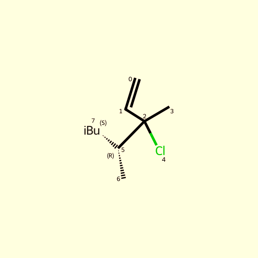 C=CC(C)(Cl)[C@H](C)[C@@H](C)CC